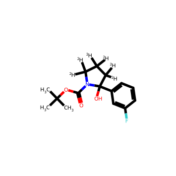 [2H]C1([2H])N(C(=O)OC(C)(C)C)C(O)(c2cccc(F)c2)C([2H])([2H])C1([2H])[2H]